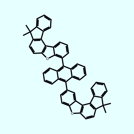 CC1(C)c2ccccc2-c2c1ccc1oc3ccc(-c4c5ccccc5c(-c5cccc6c5oc5ccc7c(c56)-c5ccccc5C7(C)C)c5ccccc45)cc3c21